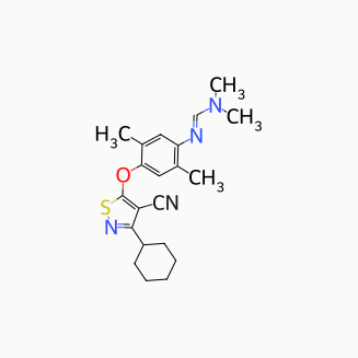 Cc1cc(Oc2snc(C3CCCCC3)c2C#N)c(C)cc1N=CN(C)C